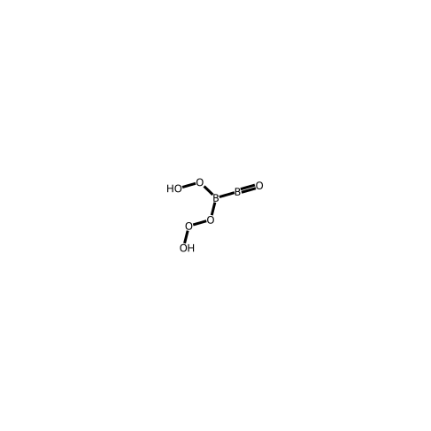 O=BB(OO)OOO